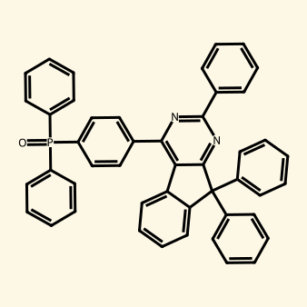 O=P(c1ccccc1)(c1ccccc1)c1ccc(-c2nc(-c3ccccc3)nc3c2-c2ccccc2C3(c2ccccc2)c2ccccc2)cc1